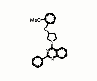 COc1ccccc1OC1CCN(c2nc(-c3ccccc3)nc3ccccc23)C1